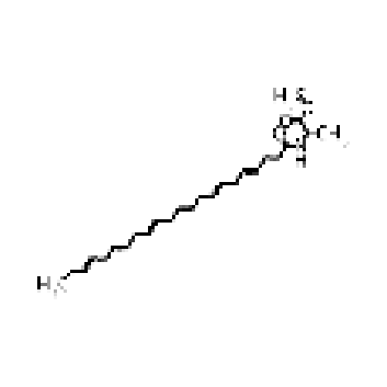 CCC=CCC=CCC=CCC=CCC=CCC=CCCC(=O)N[C@@H](C)C(=O)OC